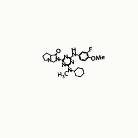 COc1ccc(Nc2nc(N3CN4CCCC4C3=O)nc(N(C)C3CCCCC3)n2)cc1F